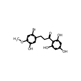 COc1cc(Br)c(CCC(=O)c2c(O)cc(O)cc2O)cc1O